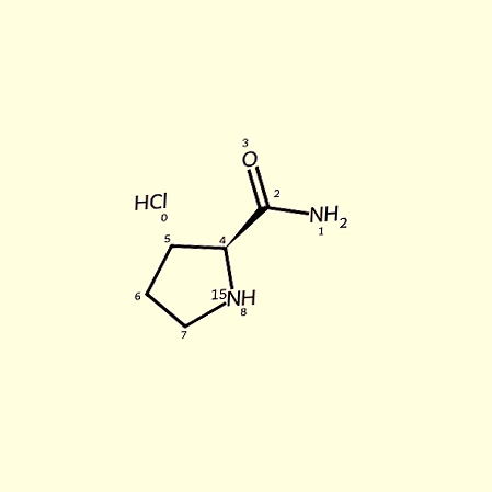 Cl.NC(=O)[C@@H]1CCC[15NH]1